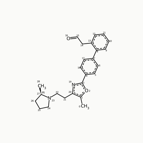 Cc1oc(-c2ccc(-c3ccccc3CC=O)cc2)nc1CCN1CCC[C@H]1C